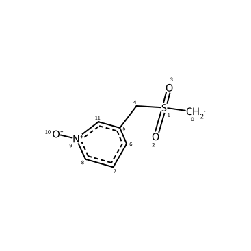 [CH2]S(=O)(=O)Cc1ccc[n+]([O-])c1